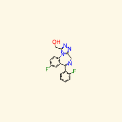 OCc1nnc2n1-c1ccc(F)cc1C(c1ccccc1F)=NC2